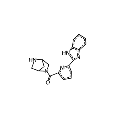 O=C(c1cccc(-c2nc3ccccc3[nH]2)n1)N1CC2CC1CN2